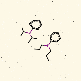 CC(C)P(c1ccccc1)C(C)C.CCCP(CCC)c1ccccc1